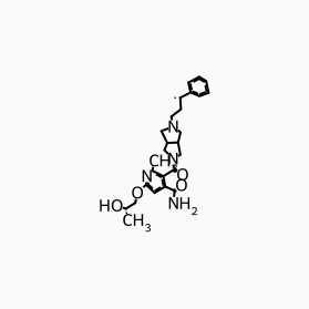 Cc1nc(OC[C@H](C)O)cc(C(N)=O)c1C(=O)N1CC2CN(CC[CH]c3ccccc3)CC2C1